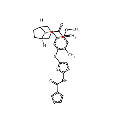 C=CC(=O)N1C[C@H]2CC[C@@H](C1)N2Cc1cc(Sc2cnc(NC(=O)c3ccsc3)s2)c(C)cc1OC